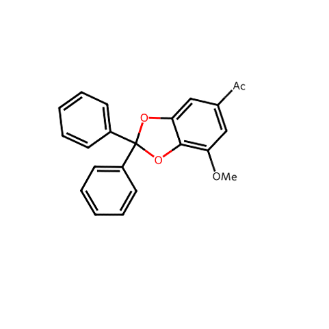 COc1cc(C(C)=O)cc2c1OC(c1ccccc1)(c1ccccc1)O2